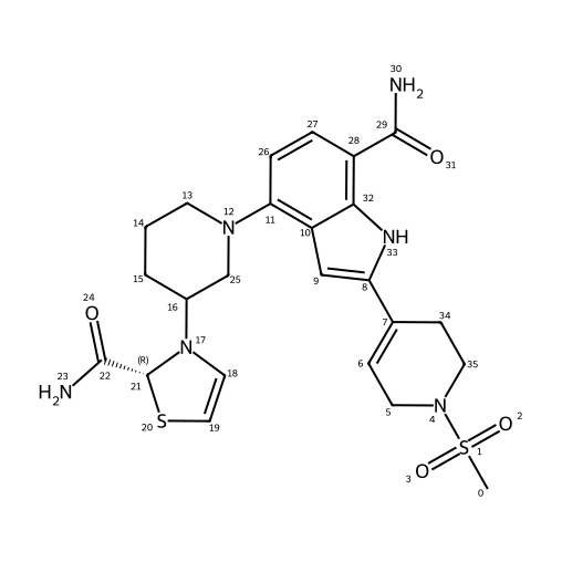 CS(=O)(=O)N1CC=C(c2cc3c(N4CCCC(N5C=CS[C@@H]5C(N)=O)C4)ccc(C(N)=O)c3[nH]2)CC1